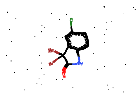 O=C1Nc2ccc(Cl)cc2C1(Br)Br